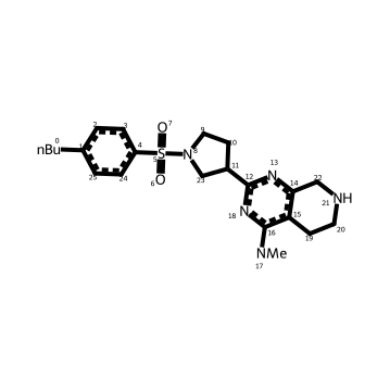 CCCCc1ccc(S(=O)(=O)N2CCC(c3nc4c(c(NC)n3)CCNC4)C2)cc1